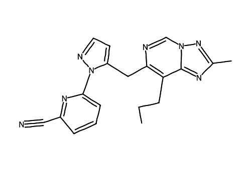 CCCc1c(Cc2ccnn2-c2cccc(C#N)n2)ncn2nc(C)nc12